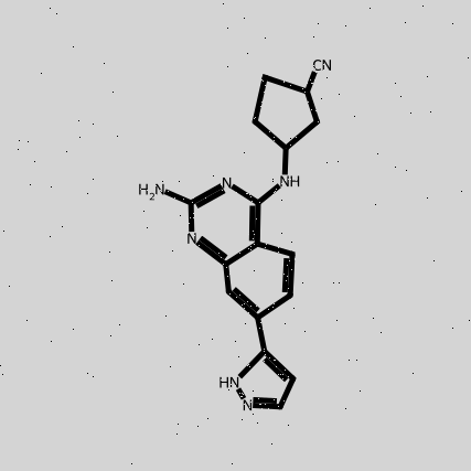 N#CC1CCC(Nc2nc(N)nc3cc(-c4ccn[nH]4)ccc23)C1